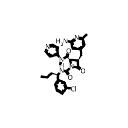 CCC[C@@H](NC(=O)N1C(=O)[C@H](Cc2cc(C)nc(N)c2)[C@H]1C(=O)N(C)c1ccncc1)c1cccc(Cl)c1